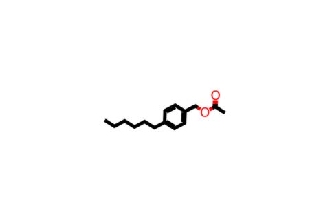 CCCCCCc1ccc(COC(C)=O)cc1